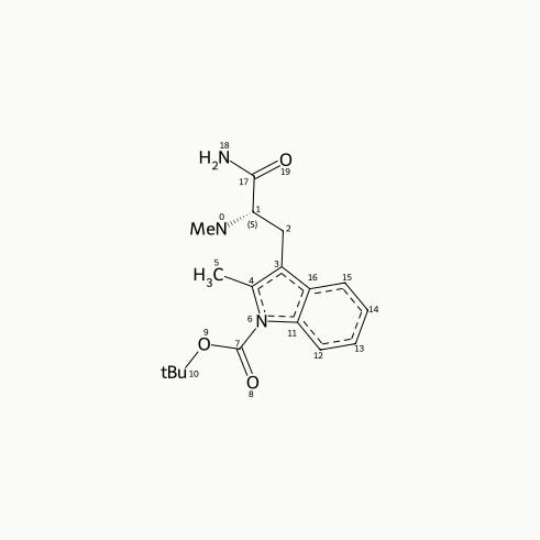 CN[C@@H](Cc1c(C)n(C(=O)OC(C)(C)C)c2ccccc12)C(N)=O